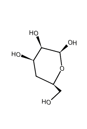 OC[C@H]1C[C@@H](O)[C@@H](O)[C@@H](O)O1